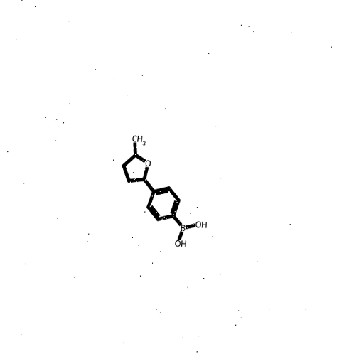 CC1CCC(c2ccc(B(O)O)cc2)O1